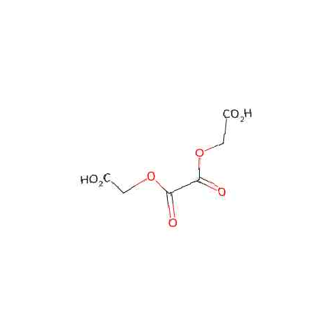 O=C(O)COC(=O)C(=O)OCC(=O)O